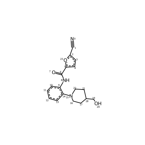 N#Cc1ccc(C(=O)Nc2ccccc2N2CCC(CO)CC2)o1